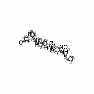 O=C(NS(=O)(=O)c1ccc(NCCSc2ccccc2)c([N+](=O)[O-])c1)c1ccc2c(c1)CC[C@H]1CN(Cc3cccnc3-c3ccc(Cl)cc3)CCN21